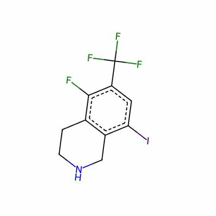 Fc1c(C(F)(F)F)cc(I)c2c1CCNC2